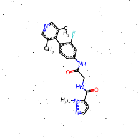 Cc1cncc(C)c1-c1ccc(NC(=O)CNC(=O)c2ccnn2C)cc1F